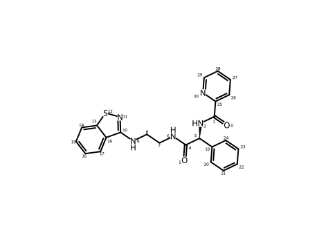 O=C(N[C@H](C(=O)NCCNc1nsc2ccccc12)c1ccccc1)c1ccccn1